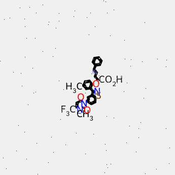 Cc1ccc(OC(C/C=C/c2ccccc2)C(=O)O)c(-c2nsc3ccc(-n4c(=O)cc(C(F)(F)F)n(C)c4=O)cc23)c1